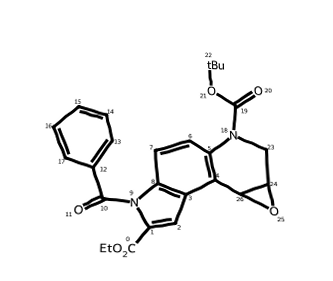 CCOC(=O)c1cc2c3c(ccc2n1C(=O)c1ccccc1)N(C(=O)OC(C)(C)C)CC1OC31